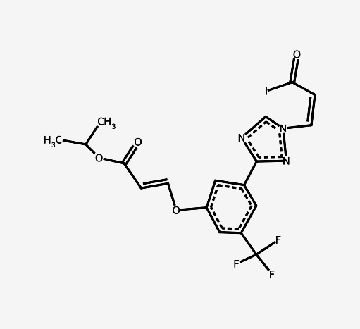 CC(C)OC(=O)/C=C/Oc1cc(-c2ncn(/C=C\C(=O)I)n2)cc(C(F)(F)F)c1